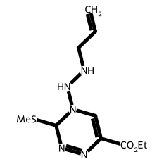 C=CCNNN1C=C(C(=O)OCC)N=NC1SC